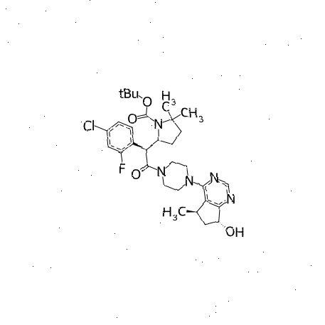 C[C@@H]1C[C@@H](O)c2ncnc(N3CCN(C(=O)[C@@H](c4ccc(Cl)cc4F)C4CCC(C)(C)N4C(=O)OC(C)(C)C)CC3)c21